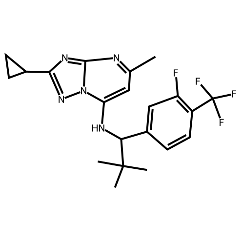 Cc1cc(NC(c2ccc(C(F)(F)F)c(F)c2)C(C)(C)C)n2nc(C3CC3)nc2n1